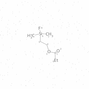 CCC(=O)OCC[Si](C)(C)F